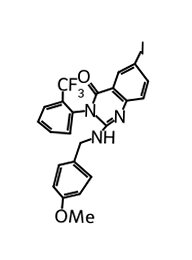 COc1ccc(CNc2nc3ccc(I)cc3c(=O)n2-c2ccccc2C(F)(F)F)cc1